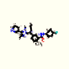 C=C/C=C(/c1ccc(C(F)(F)F)c(C(=O)Nc2ccc(F)cc2)c1)c1nc(C)c(-c2cccnc2)n1C